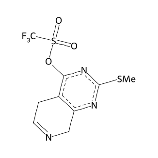 CSc1nc2c(c(OS(=O)(=O)C(F)(F)F)n1)CC=NC2